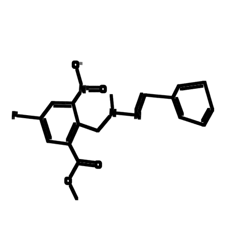 COC(=O)c1cc(F)cc([N+](=O)[O-])c1CN(C)/N=C/c1ccccc1